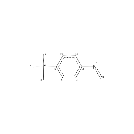 C=Nc1ccc(C(C)(C)C)cc1